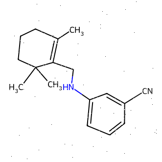 CC1=C(CNc2cccc(C#N)c2)C(C)(C)CCC1